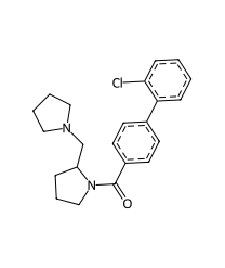 O=C(c1ccc(-c2ccccc2Cl)cc1)N1CCCC1CN1CCCC1